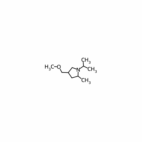 COCC1CC(C)N(C(C)C)C1